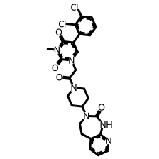 Cn1c(=O)c(-c2cccc(Cl)c2Cl)cn(CC(=O)N2CCC(N3CCc4cccnc4NC3=O)CC2)c1=O